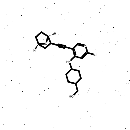 OCC1CCC(Nc2cc(Cl)ncc2C#CC2C[C@@H]3CC[C@@H]2O3)CC1